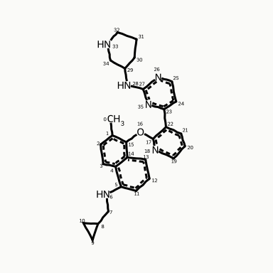 Cc1ccc2c(NCC3CC3)cccc2c1Oc1ncccc1-c1ccnc(NC2CCCNC2)n1